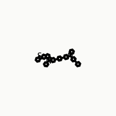 c1ccc(-c2ccc(N(c3ccccc3)c3ccc(-c4ccc(-c5ccc6c(c5)c5ccc7cc8sc9ccccc9c8cc7c5n6-c5ccccc5)cc4)cc3)cc2)cc1